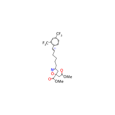 COC(=O)CC1(C(=O)OC)CC(CCCC/C=C/c2ccc(C(F)(F)F)cc2C(F)(F)F)=NO1